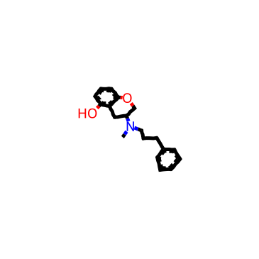 CN(CCCc1ccccc1)C1COc2cccc(O)c2C1